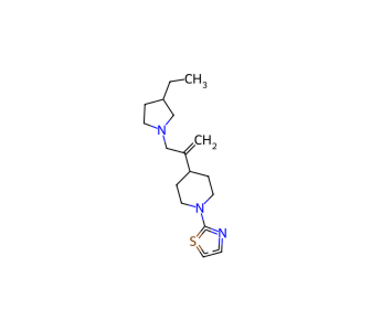 C=C(CN1CCC(CC)C1)C1CCN(c2nccs2)CC1